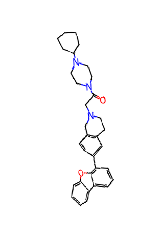 O=C(CN1CCc2cc(-c3cccc4c3oc3ccccc34)ccc2C1)N1CCN(C2CCCCC2)CC1